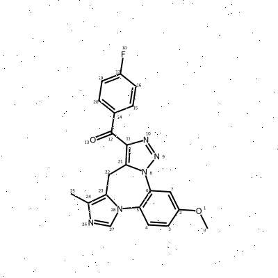 COc1ccc2c(c1)-n1nnc(C(=O)c3ccc(F)cc3)c1Cc1c(C)ncn1-2